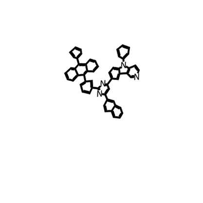 c1ccc(-c2c3ccccc3c(-c3cccc(-c4nc(-c5ccc6ccccc6c5)cc(-c5ccc6c(c5)c5cnccc5n6-c5ccccc5)n4)c3)c3ccccc23)cc1